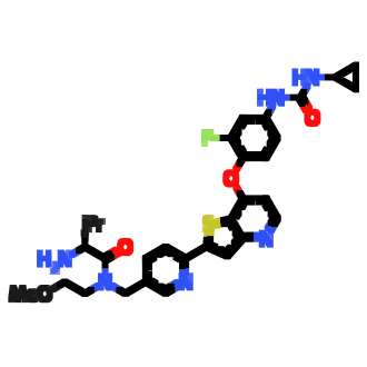 COCCN(Cc1ccc(-c2cc3nccc(Oc4ccc(NC(=O)NC5CC5)cc4F)c3s2)nc1)C(=O)[C@@H](N)C(C)C